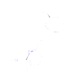 Nc1nc(OCc2cc(F)c(F)c(F)c2)ncc1F